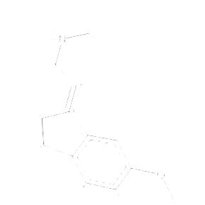 COc1ccc2c(c1)/C(=C/CN(C)C)CC2